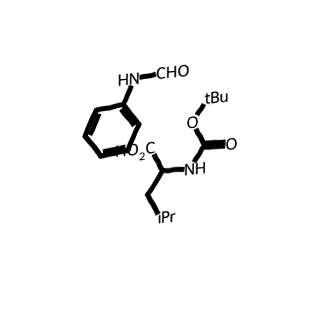 CC(C)CC(NC(=O)OC(C)(C)C)C(=O)O.O=CNc1ccccc1